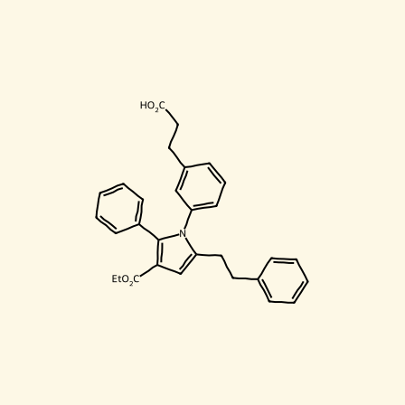 CCOC(=O)c1cc(CCc2ccccc2)n(-c2cccc(CCC(=O)O)c2)c1-c1ccccc1